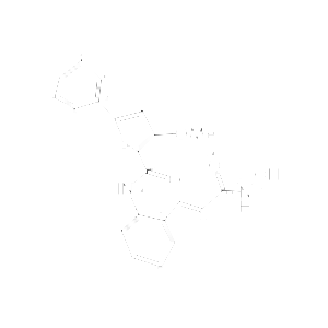 COc1cc(-c2ccccc2)sc1C(=O)Nc1ccccc1C=CC(=O)NO